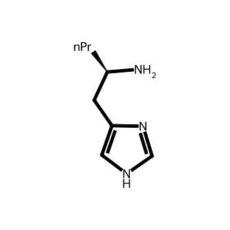 CCC[C@@H](N)Cc1c[nH]cn1